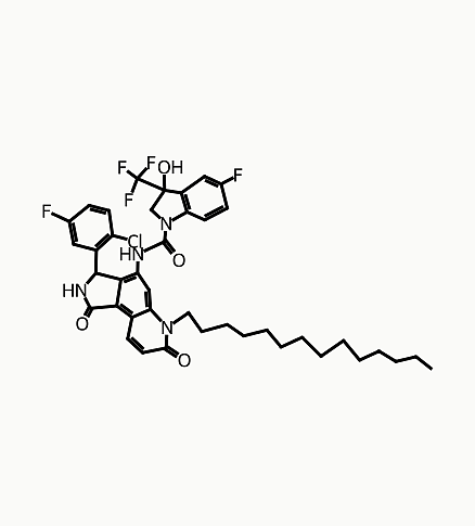 CCCCCCCCCCCCCCn1c(=O)ccc2c3c(c(NC(=O)N4CC(O)(C(F)(F)F)c5cc(F)ccc54)cc21)C(c1cc(F)ccc1Cl)NC3=O